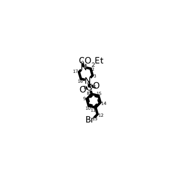 CCOC(=O)N1CCN(S(=O)(=O)c2ccc(CBr)cc2)CC1